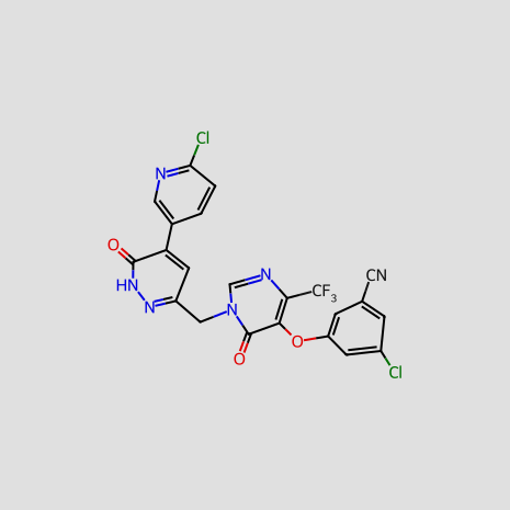 N#Cc1cc(Cl)cc(Oc2c(C(F)(F)F)ncn(Cc3cc(-c4ccc(Cl)nc4)c(=O)[nH]n3)c2=O)c1